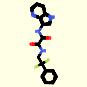 O=C(NCC(F)(F)c1ccccc1)C(=O)Nc1c[nH]c2cccnc12